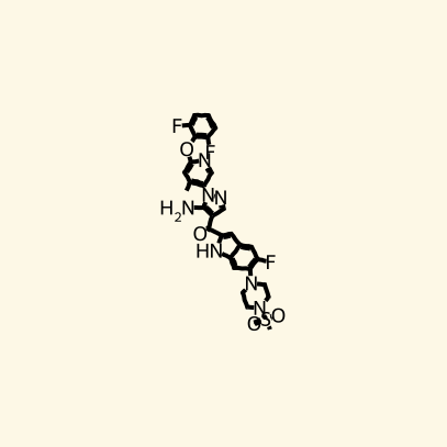 Cc1cc(Oc2c(F)cccc2F)ncc1-n1ncc(C(=O)c2cc3cc(F)c(N4CCN(S(C)(=O)=O)CC4)cc3[nH]2)c1N